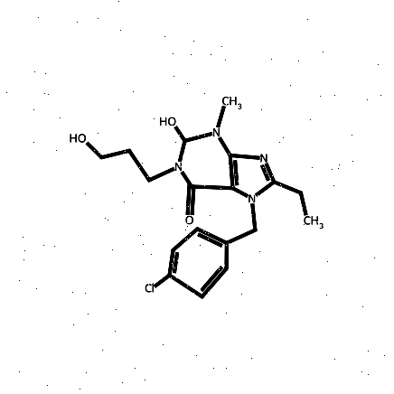 CCc1nc2c(n1Cc1ccc(Cl)cc1)C(=O)N(CCCO)C(O)N2C